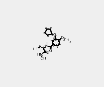 COc1ccc(C(=O)N[C@H](CO)C(=O)NO)cc1OC1CCCC1